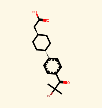 CC(C)(Br)C(=O)c1ccc([C@H]2CC[C@H](CC(=O)O)CC2)cc1